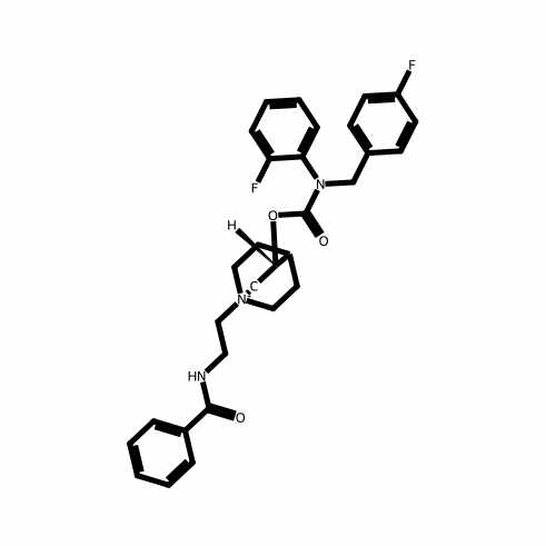 O=C(NCC[N+]12CCC(CC1)[C@@H](OC(=O)N(Cc1ccc(F)cc1)c1ccccc1F)C2)c1ccccc1